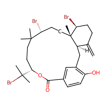 C=C1CC[C@H](Br)[C@@]2(C)CC[C@@H](Br)C(C)(C)CC[C@@H](C(C)(C)Br)OC(=O)c3ccc(O)c(c3)C[C@H]12